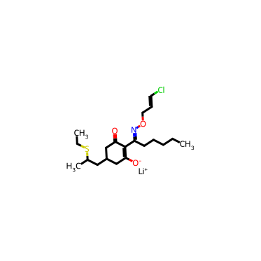 CCCCCC(=NOC/C=C/Cl)C1=C([O-])CC(CC(C)SCC)CC1=O.[Li+]